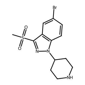 CS(=O)(=O)c1nn(C2CCNCC2)c2ccc(Br)cc12